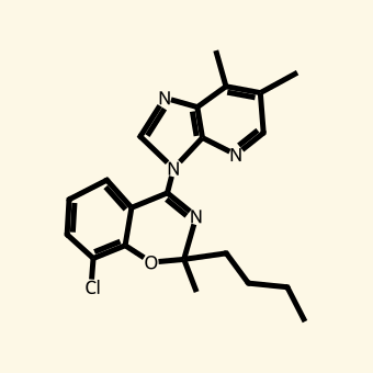 CCCCC1(C)N=C(n2cnc3c(C)c(C)cnc32)c2cccc(Cl)c2O1